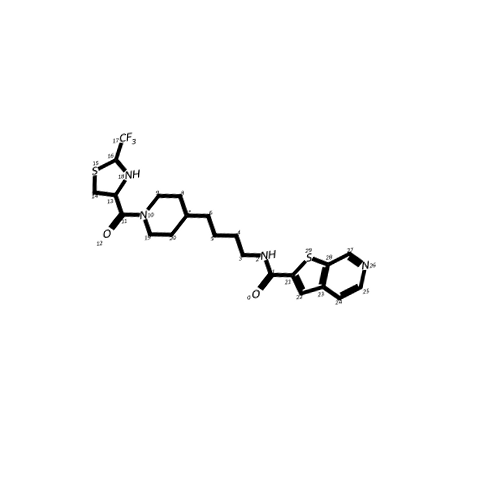 O=C(NCCCCC1CCN(C(=O)C2CSC(C(F)(F)F)N2)CC1)c1cc2ccncc2s1